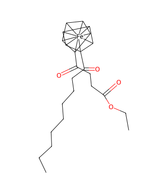 CCCCCCCCC(=O)[C]12[CH]3[CH]4[CH]5[CH]1[Fe]45321678[CH]2[CH]1[CH]6[C]7(C(=O)CCC(=O)OCC)[CH]28